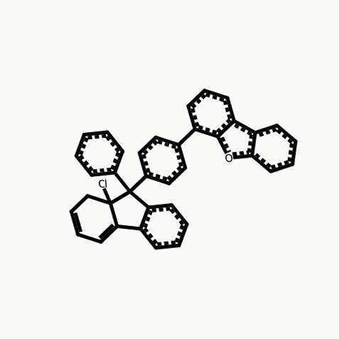 ClC12CC=CC=C1c1ccccc1C2(c1ccccc1)c1ccc(-c2cccc3c2oc2ccccc23)cc1